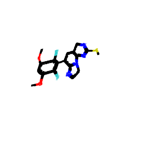 COc1cc(OC)c(F)c(-c2cc3cnc(SC)nc3n3ccnc23)c1F